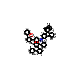 c1ccc(-c2ccccc2-c2ccccc2-c2ccccc2N(c2ccc(-c3cccc4c3oc3ccccc34)cc2)c2ccc3c(c2)-c2ccccc2C32C3CC4CC(C3)CC2C4)cc1